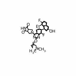 CCc1c(F)ccc2cc(O)cc(-c3ccc4c(N5CC6C(=O)NC(=O)C6C5)nc(OCC5(CN(C)C)CC5)nc4c3F)c12